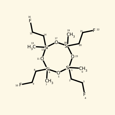 C[Si]1(CCF)O[Si](C)(CCF)O[Si](C)(CCF)O[Si](C)(CCF)O1